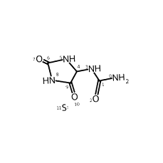 NC(=O)NC1NC(=O)NC1=O.[S]